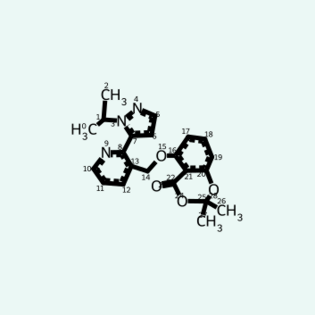 CC(C)n1nccc1-c1ncccc1COc1cccc2c1C(=O)OC(C)(C)O2